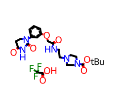 CC(C)(C)OC(=O)N1CCN(CCNC(=O)COc2cccc(N3CCC(=O)NC3=O)c2)CC1.O=C(O)C(F)(F)F